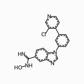 N=C(NO)c1ccc2c(c1)ncn2-c1cccc(-c2ccncc2Cl)c1